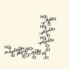 CCN(CC)CC.O=[As](O)(O)F.O=[As](O)(O)F.O=[As](O)(O)F.O=[As](O)(O)F.O=[As](O)(O)F.O=[As](O)(O)F